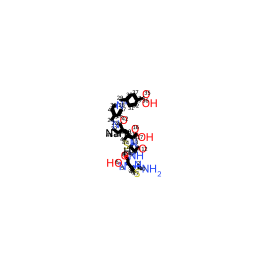 Nc1nc(/C(=N/O)C(=O)N[C@@H]2C(=O)N3C(C(=O)O)=C(/C=C4\CCN(Cc5cc[n+](Cc6ccc(C(=O)O)cc6)cc5)C4=O)CS[C@H]23)cs1.[NaH]